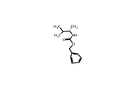 CC(C)[C@H](C)NC(=O)OCc1ccccc1